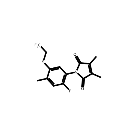 CC1=C(C)C(=O)N(c2cc(SCC(F)(F)F)c(C)cc2F)C1=O